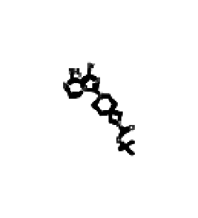 CC(C)(C)OC(=O)N1CC2(CCN(c3nc(Br)c4c(N)nccn34)CC2)C1